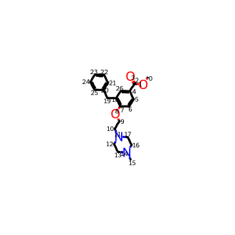 COC(=O)c1ccc(OCCN2CCN(C)CC2)c(Cc2ccccc2)c1